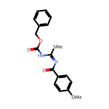 COc1ccc(C(=O)N=C(NC(=O)OCc2ccccc2)SC)cc1